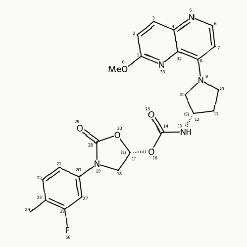 COc1ccc2nccc(N3CC[C@H](NC(=O)O[C@@H]4CN(c5ccc(C)c(F)c5)C(=O)O4)C3)c2n1